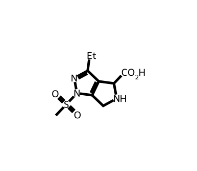 CCc1nn(S(C)(=O)=O)c2c1C(C(=O)O)NC2